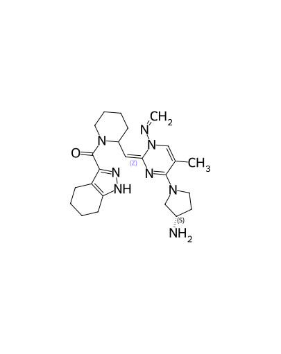 C=NN1C=C(C)C(N2CC[C@H](N)C2)=N/C1=C/C1CCCCN1C(=O)c1n[nH]c2c1CCCC2